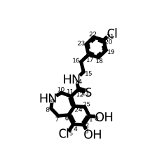 OC1=C(O)C(Cl)=C2CCNCC(C(=S)NCCc3ccc(Cl)cc3)=C2C1